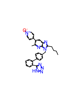 CCCCc1nc2cc(-c3cc[n+]([O-])cc3)c(C)nc2n1Cc1ccc(-c2ccccc2-c2nnn[nH]2)cc1